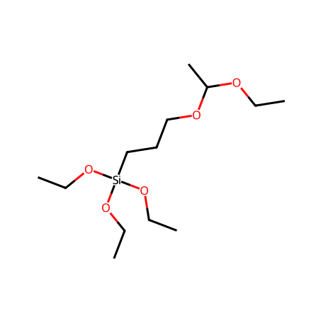 CCOC(C)OCCC[Si](OCC)(OCC)OCC